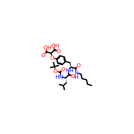 CCCCCNC(=O)[C@H](Cc1ccc(OC(C(=O)O)C(=O)O)cc1)NC(=O)[C@H](CC(C)C)NC(=O)OC(C)(C)C